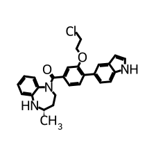 C[C@H]1CCN(C(=O)c2ccc(-c3ccc4[nH]ccc4c3)c(OCCCl)c2)c2ccccc2N1